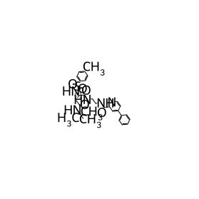 Cc1ccc(S(=O)(=O)N[C@@H](CC(=O)NC(C)(C)C)C(=O)NCCNC(=O)c2cc(-c3ccccc3)ccn2)cc1